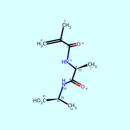 C=C(C)C(=O)N[C@@H](C)C(=O)N[C@@H](C)C(=O)O